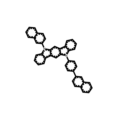 c1ccc2cc(-c3ccc(-n4c5ccccc5c5cc6c(cc54)c4ccccc4n6-c4ccc5ccccc5c4)cc3)ccc2c1